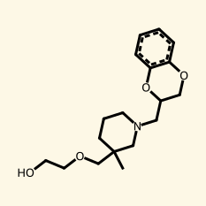 CC1(COCCO)CCCN(CC2COc3ccccc3O2)C1